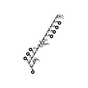 CC(C)(C)OC(=O)N[C@H](CC(=O)NCC(O)COCC(COCC(COCC(COCC(COCC1COC(C)(C)O1)OCc1ccccc1)OCc1ccccc1)OCc1ccccc1)OCc1ccccc1)C(=O)NCC(O)COCC(COCC(COCC(COCC(COCC1COC(C)(C)O1)OCc1ccccc1)OCc1ccccc1)OCc1ccccc1)OCc1ccccc1